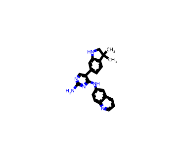 CC1(C)CNc2cc(-c3cnc(N)nc3Nc3ccc4ncccc4c3)ccc21